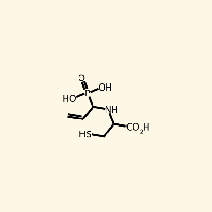 C=CC(NC(CS)C(=O)O)P(=O)(O)O